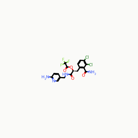 NC(=O)c1c(C[C@H](OC(=O)C(F)(F)F)C(=O)NCc2ccc(N)nc2)ccc(Cl)c1Cl